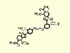 COc1c(C(N)=O)ccc2[nH]c(-c3ccc(OCCOc4ccc(C(=O)O)c(-c5nc6c(OC)c(C(N)=O)ccc6[nH]5)c4)cc3C(=O)O)nc12